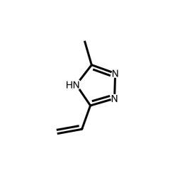 C=Cc1nnc(C)[nH]1